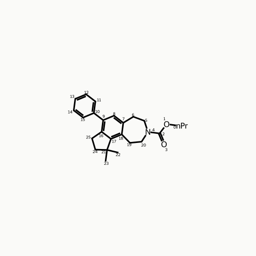 CCCOC(=O)N1CCc2cc(-c3ccccc3)c3c(c2CC1)C(C)(C)CC3